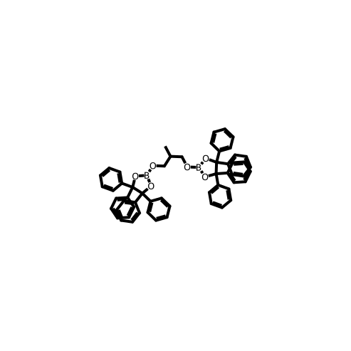 CC(COB1OC(c2ccccc2)(c2ccccc2)C(c2ccccc2)(c2ccccc2)O1)COB1OC(c2ccccc2)(c2ccccc2)C(c2ccccc2)(c2ccccc2)O1